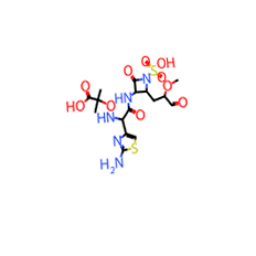 COC(C=O)CC1C(NC(=O)C(NOC(C)(C)C(=O)O)c2csc(N)n2)C(=O)N1S(=O)(=O)O